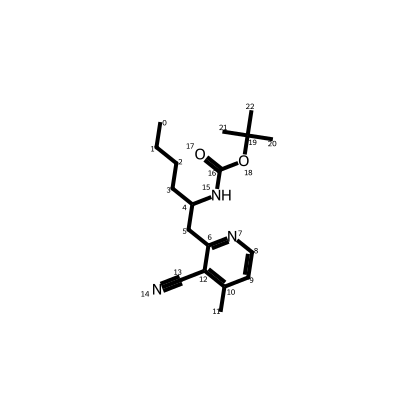 CCCCC(Cc1nccc(C)c1C#N)NC(=O)OC(C)(C)C